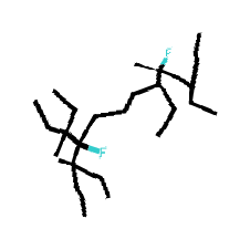 CCC(CC)[C@@](C)(F)C(CC)CCCC(F)(C(C)(CC)CC)C(C)(CC)CC